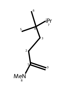 C=C(CCC(C)(C)C(C)C)NC